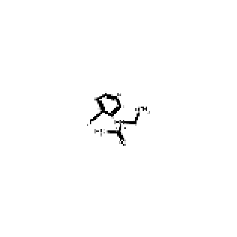 CCNC(C)=O.Ic1ccccc1